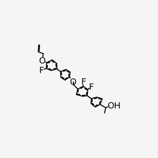 C=CCOc1ccc(-c2ccc(OCc3ccc(-c4ccc(C(C)O)cc4)c(F)c3F)cc2)cc1F